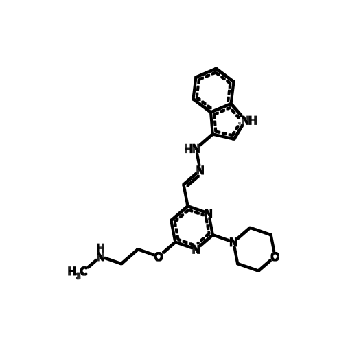 CNCCOc1cc(C=NNc2c[nH]c3ccccc23)nc(N2CCOCC2)n1